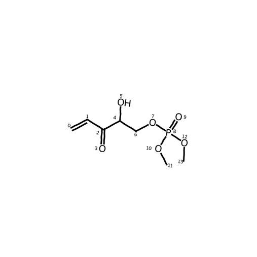 C=CC(=O)C(O)COP(=O)(OC)OC